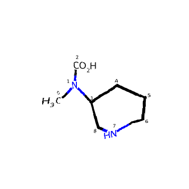 CN(C(=O)O)C1CCCNC1